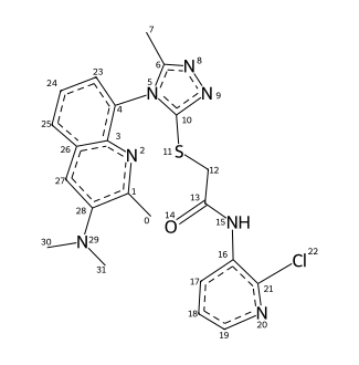 Cc1nc2c(-n3c(C)nnc3SCC(=O)Nc3cccnc3Cl)cccc2cc1N(C)C